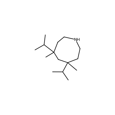 CC(C)C1(C)CCNCCC(C)(C(C)C)C1